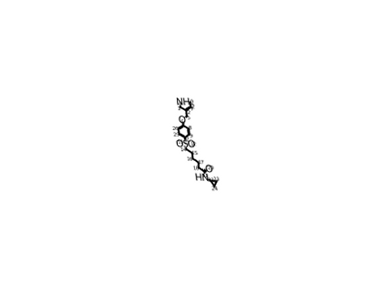 C/C=C(\CN)COc1ccc(S(=O)(=O)CCCCCC(=O)NC2CC2)cc1